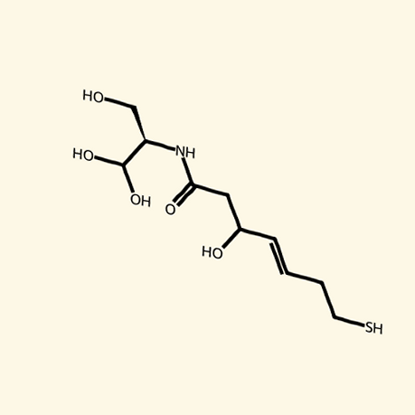 O=C(CC(O)/C=C/CCS)N[C@H](CO)C(O)O